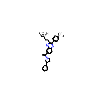 C=C(c1ccc2nc(-c3ccc(C(F)(F)F)cc3)c(CCCCC(=O)O)nc2c1)N1CCC(c2ccccc2)C1